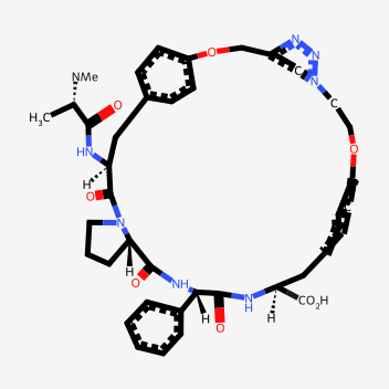 CN[C@@H](C)C(=O)N[C@H]1Cc2ccc(cc2)OCc2cn(nn2)CCOc2ccc(cc2)C[C@@H](C(=O)O)NC(=O)[C@H](c2ccccc2)NC(=O)[C@@H]2CCCN2C1=O